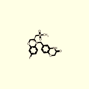 CS(=O)(=O)C[C@@H]1COc2cc(F)ccc2N1Cc1ccc2c(c1)NC(=O)CO2